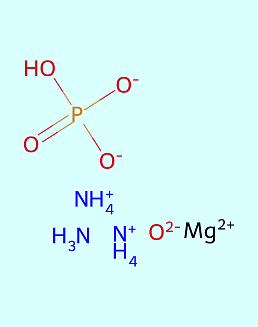 N.O=P([O-])([O-])O.[Mg+2].[NH4+].[NH4+].[O-2]